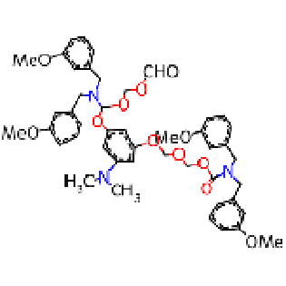 COc1cccc(CN(Cc2cccc(OC)c2)C(=O)OCOCOc2cc(OC(OCOC=O)N(Cc3cccc(OC)c3)Cc3cccc(OC)c3)cc(N(C)C)c2)c1